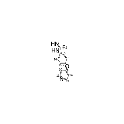 N=C(F)Nc1ccc(Oc2ccncc2)cc1